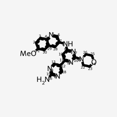 COc1ccc2ncc(Nc3cc(-c4cnc(N)nc4)nc(N4CCOCC4)n3)cc2c1